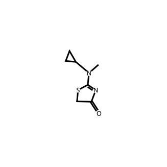 CN(C1=NC(=O)CS1)C1CC1